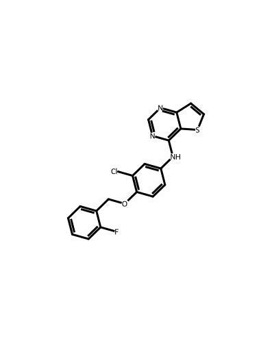 Fc1ccccc1COc1ccc(Nc2ncnc3ccsc23)cc1Cl